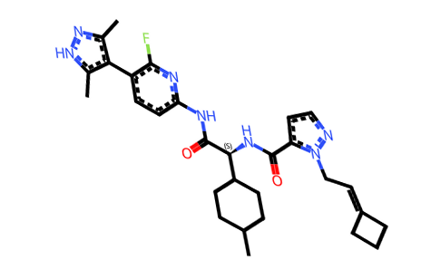 Cc1n[nH]c(C)c1-c1ccc(NC(=O)[C@@H](NC(=O)c2ccnn2CC=C2CCC2)C2CCC(C)CC2)nc1F